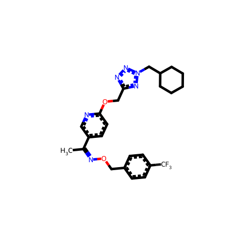 CC(=NOCc1ccc(C(F)(F)F)cc1)c1ccc(OCc2nnn(CC3CCCCC3)n2)nc1